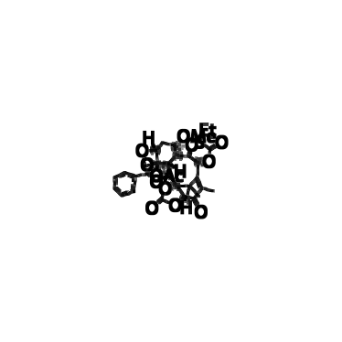 CCSC(=O)O[C@H]1C(=O)[C@]2(C)[C@@H](OC)C[C@H]3OC[C@@]3(OC(C)=O)[C@H]2[C@H](OC(=O)c2ccccc2)[C@]23OC(=O)O[C@H]2C(=O)C(C)=C1C3(C)C